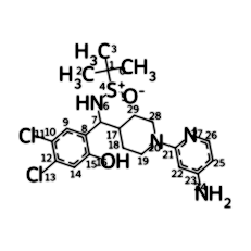 CC(C)(C)[S@+]([O-])NC(c1cc(Cl)c(Cl)cc1O)C1CCN(c2cc(N)ccn2)CC1